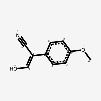 COc1ccc(C(C#N)=CO)cc1